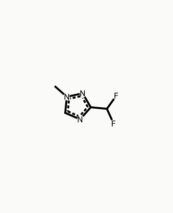 Cn1cnc(C(F)F)n1